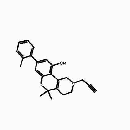 C#CCN1CCC2=C(C1)c1c(O)cc(-c3ccccc3C)cc1OC2(C)C